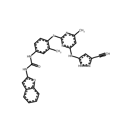 C#Cc1cc(Nc2cc(C)nc(Sc3ccc(NC(=O)Nc4cc5ccccc5o4)cc3C)n2)[nH]n1